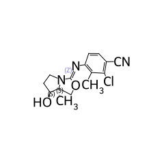 Cc1c(/N=C2\OC[C@@]3(C)[C@@H](O)CCN23)ccc(C#N)c1Cl